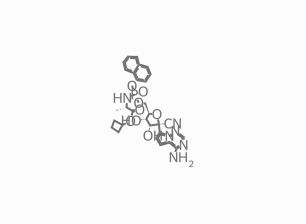 C[C@H](NP(=O)(OC[C@H]1O[C@@](C#N)(c2ccc3c(N)ncnn23)[C@H](O)[C@@H]1O)Oc1cccc2ccccc12)C(=O)OC1CCC1